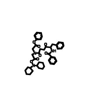 O=C(CN(CC(=O)ON(C1CCCCC1)C1CCCCC1)C(=O)CCC(=O)C(Cc1ccccc1)NC(=O)c1ccccc1)Oc1ccccc1